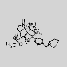 CC(C)[C@]1(S(=O)(=O)c2ccc(CN3CCCCC3)cc2)C(=O)N(S(C)(=O)=O)[C@H]2CCN[C@H]21.Cl